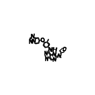 Cc1cc(Nc2ncnc3cnc(N(C)[C@H]4CCOC4)nc23)ccc1Oc1ccn2ncnc2c1